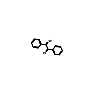 N=C(C(=N)c1ccccc1)c1ccccc1